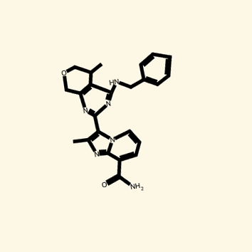 Cc1nc2c(C(N)=O)cccn2c1-c1nc2c(c(NCc3ccccc3)n1)C(C)COC2